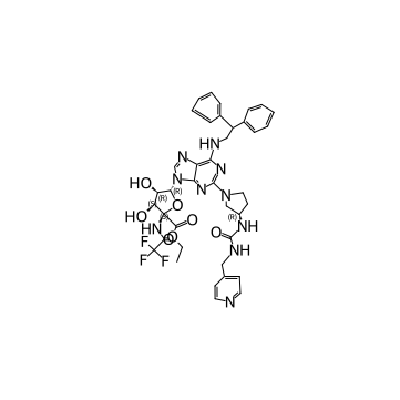 CCOC(=O)[C@@]1(NC(=O)C(F)(F)F)O[C@@H](n2cnc3c(NCC(c4ccccc4)c4ccccc4)nc(N4CC[C@@H](NC(=O)NCc5ccncc5)C4)nc32)[C@H](O)[C@@H]1O